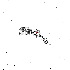 C/C(=C\c1ccc(O[C@@H]2O[C@H](/C(C)=N/OCc3ccc(Cl)cc3F)C[C@H]2F)c(O)c1)C(=O)N[C@@H]1C(O)C(O)C2OCO[C@H]2[C@@H]1O